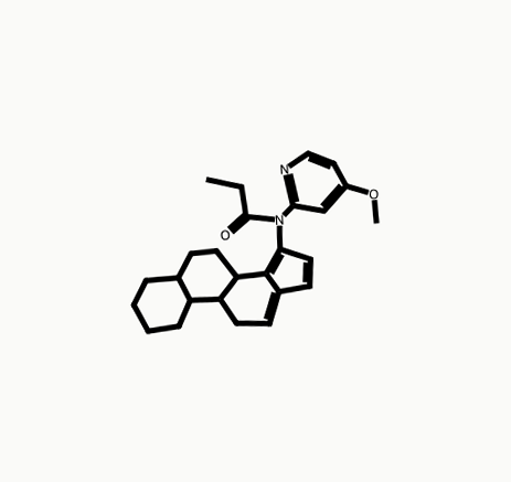 CCC(=O)N(C1=C2C(=CCC3C2CCC2CCCCC23)C=C1)c1cc(OC)ccn1